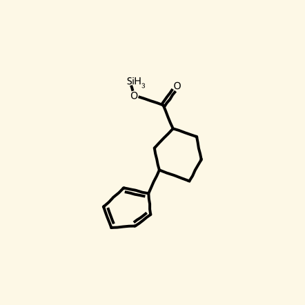 O=C(O[SiH3])C1CCCC(c2ccccc2)C1